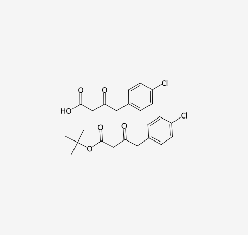 CC(C)(C)OC(=O)CC(=O)Cc1ccc(Cl)cc1.O=C(O)CC(=O)Cc1ccc(Cl)cc1